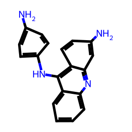 Nc1ccc(Nc2c3ccccc3nc3cc(N)ccc23)cc1